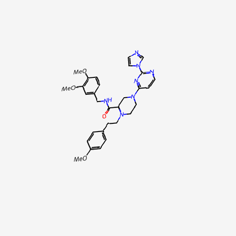 COc1ccc(CCN2CCN(c3ccnc(-n4ccnc4)n3)CC2C(=O)NCc2ccc(OC)c(OC)c2)cc1